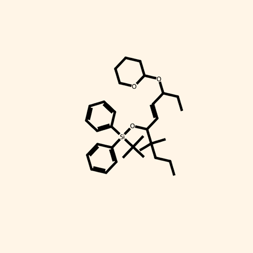 CCCC(C)(C)C(C=CC(CC)OC1CCCCO1)O[Si](c1ccccc1)(c1ccccc1)C(C)(C)C